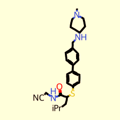 CC(C)CC(Sc1ccc(-c2ccc(CNC3CCN(C)CC3)cc2)cc1)C(=O)NCC#N